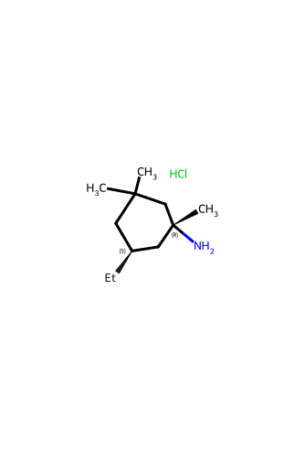 CC[C@H]1CC(C)(C)C[C@](C)(N)C1.Cl